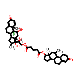 CC1CC2(C)C(OC(=O)CCCC(=O)OCC(=O)C3(O)C(C)CC4C5CCC6=CC(=O)C=CC6(C)C5(F)C(O)CC43C)CCC2C2CCC3=CC(=O)CCC3C12